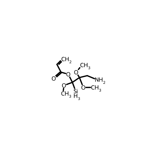 C=CC(=O)OC([SiH3])(OC)C(CN)(OC)OC